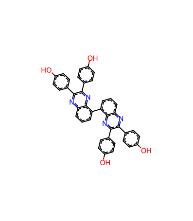 Oc1ccc(-c2nc3cccc(-c4cccc5nc(-c6ccc(O)cc6)c(-c6ccc(O)cc6)nc45)c3nc2-c2ccc(O)cc2)cc1